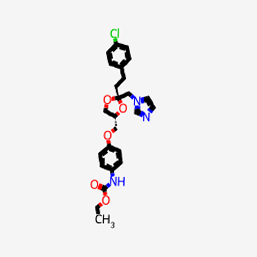 CCOC(=O)Nc1ccc(OC[C@@H]2CO[C@](CCc3ccc(Cl)cc3)(Cn3ccnc3)O2)cc1